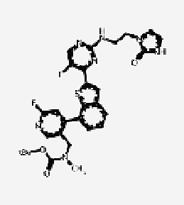 CN(Cc1cnc(F)cc1-c1cccc2cc(-c3nc(NCCn4cc[nH]c4=O)ncc3F)sc12)C(=O)OC(C)(C)C